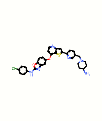 NC1CCN(Cc2ccc(-c3cc4nccc(Oc5ccc6oc(Nc7ccc(Cl)cc7)nc6c5)c4s3)nc2)CC1